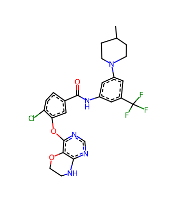 CC1CCN(c2cc(NC(=O)c3ccc(Cl)c(Oc4ncnc5c4OCCN5)c3)cc(C(F)(F)F)c2)CC1